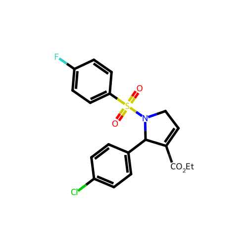 CCOC(=O)C1=CCN(S(=O)(=O)c2ccc(F)cc2)C1c1ccc(Cl)cc1